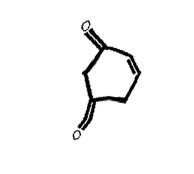 O=C1[C]=CCC(=O)C1